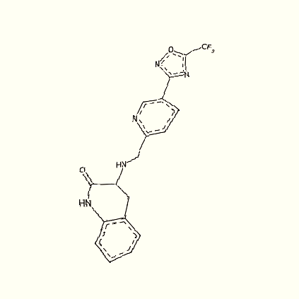 O=C1Nc2ccccc2CC1NCc1ccc(-c2noc(C(F)(F)F)n2)cn1